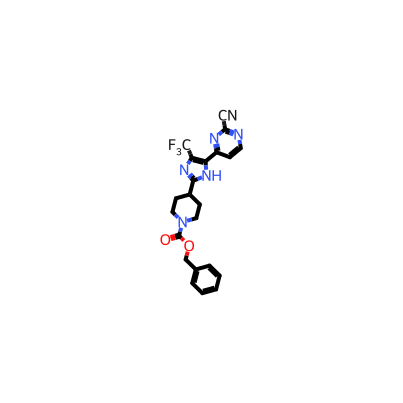 N#Cc1nccc(-c2[nH]c(C3CCN(C(=O)OCc4ccccc4)CC3)nc2C(F)(F)F)n1